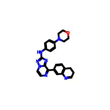 C1=Nc2cc(-c3nccn4nc(Nc5ccc(N6CCOCC6)cc5)nc34)ccc2CC1